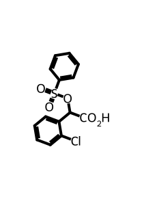 O=C(O)C(OS(=O)(=O)c1ccccc1)c1ccccc1Cl